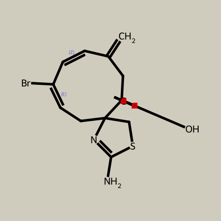 C=C1/C=C\C(Br)=C/CC2(CSC(N)=N2)C2(CCC(O)CC2)C1